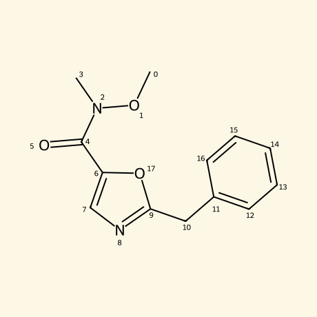 CON(C)C(=O)c1cnc(Cc2ccccc2)o1